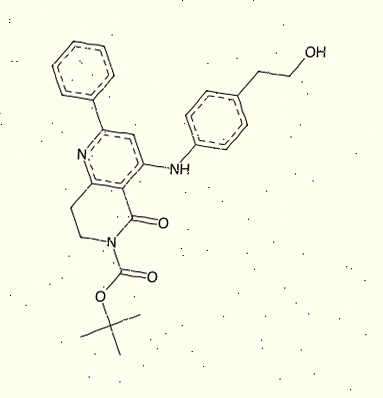 CC(C)(C)OC(=O)N1CCc2nc(-c3ccccc3)cc(Nc3ccc(CCO)cc3)c2C1=O